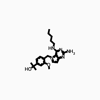 CCCCCNc1nc(N)nc2ccn(Cc3ccc(C(C)(C)O)cc3OC)c12